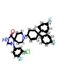 O=C1NCN(c2ccc(F)c(Cl)c2)C12CCN(C1C=CC(c3ccc(F)cc3)(c3ccc(F)cc3)CC1)CC2